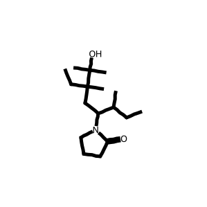 CCC(C)C(CC(C)(CC)C(C)(C)O)N1CCCC1=O